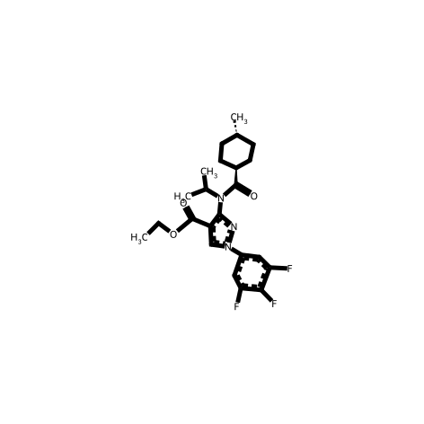 CCOC(=O)c1cn(-c2cc(F)c(F)c(F)c2)nc1N(C(=O)[C@H]1CC[C@H](C)CC1)C(C)C